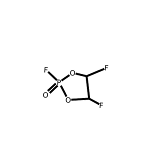 O=P1(F)OC(F)C(F)O1